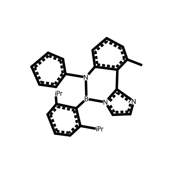 Cc1cccc2c1-c1nccn1B(c1c(C(C)C)cccc1C(C)C)N2c1ccccc1